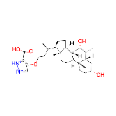 CC[C@H]1[C@@H](O)[C@@H]2[C@H](CC[C@]3(C)[C@@H]([C@H](C)CCOc4cn[nH]c4C(=O)O)CC[C@@H]23)[C@@]2(C)CC[C@@H](O)C[C@@H]12